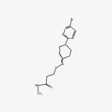 CNC(=O)CCON=C1CCN(c2ncc(Br)cn2)CC1